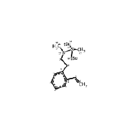 C=Cc1ccccc1CCN(C)[Si](C)(C(C)(C)C)C(C)(C)C